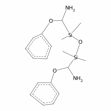 C[Si](C)(O[Si](C)(C)C(N)Oc1ccccc1)C(N)Oc1ccccc1